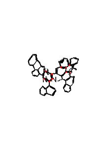 Cc1cc2ccccc2cc1-c1ccc2ccccc2c1[C@@H](C)c1c(-c2nc(-c3cccc4c3/C(=C\c3ccccc3)Cc3ccccc3-4)nc(-c3cccc4ccccc34)n2)ccc2c1sc1ccccc12